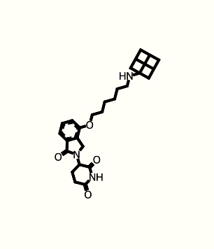 O=C1CCC(N2Cc3c(OCCCCCCNC45CC6CC7CC(C4)C765)cccc3C2=O)C(=O)N1